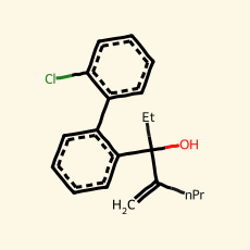 C=C(CCC)C(O)(CC)c1ccccc1-c1ccccc1Cl